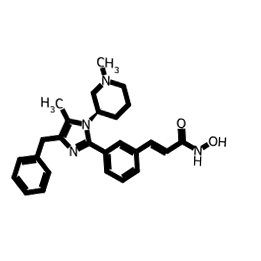 Cc1c(Cc2ccccc2)nc(-c2cccc(C=CC(=O)NO)c2)n1[C@@H]1CCCN(C)C1